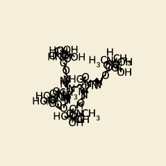 CC(=O)N[C@H]1[C@H](OCCOCCn2cc(CN(Cc3cn(CCOCCO[C@@H]4O[C@H](CO)[C@H](O)[C@H](O)[C@H]4NC(C)=O)nn3)[C@@H](CCCCN(Cc3cn(CCOCCO[C@@H]4O[C@H](CO)[C@H](O)[C@H](O)[C@H]4NC(C)=O)nn3)Cc3cn(CCOCCO[C@@H]4O[C@H](CO)[C@H](O)[C@H](O)[C@H]4NC(C)=O)nn3)C(=O)O)nn2)O[C@H](CO)[C@H](O)[C@@H]1C